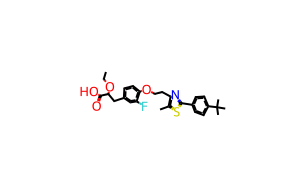 CCOC(Cc1ccc(OCCc2nc(-c3ccc(C(C)(C)C)cc3)sc2C)c(F)c1)C(=O)O